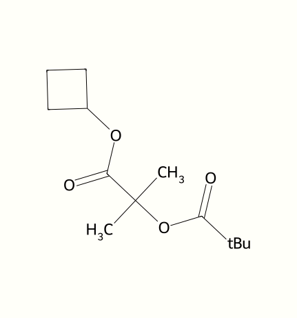 CC(C)(C)C(=O)OC(C)(C)C(=O)OC1CCC1